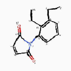 CCc1cccc(N2C(=O)C=CC2=O)c1CC